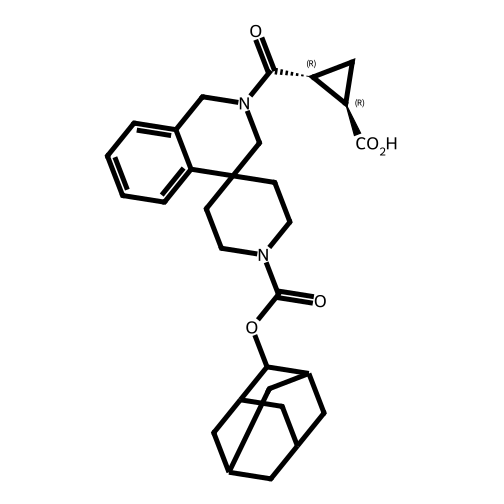 O=C(O)[C@@H]1C[C@H]1C(=O)N1Cc2ccccc2C2(CCN(C(=O)OC3C4CC5CC(C4)CC3C5)CC2)C1